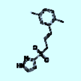 Cc1ccc(C)c(C=CCS(=O)(=O)c2cc[nH]n2)c1